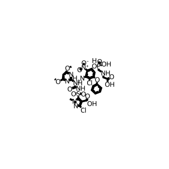 COc1cc(OC)nc(NC(=O)NS(=O)(=O)c2c(C(=O)O)c(Cl)nn2C)n1.Nc1c([N+](=O)[O-])ccc(Oc2ccccc2)c1Cl.O=C(O)CNCP(=O)(O)O